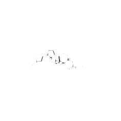 CC(=O)O[C@H]1CC[C@@]23CO[C@]4(CC[C@H]2C1)C1=CC[C@H](C2=CC(=O)OC2)[C@@]1(C)CC[C@H]34